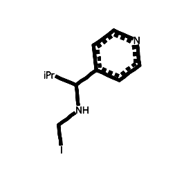 CC(C)C(NCI)c1ccncc1